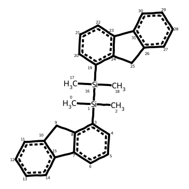 C[Si](C)(c1cccc2c1Cc1ccccc1-2)[Si](C)(C)c1cccc2c1Cc1ccccc1-2